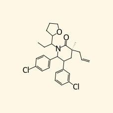 C=CC[C@@]1(C)CC(c2cccc(Cl)c2)C(c2ccc(Cl)cc2)N(C(CC)C2CCCO2)C1=O